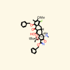 COc1c(C)c(OCc2ccccc2)c2c(c1F)C[C@H]1C[C@H]3[C@H](N(C)C)c4onc(OCc5ccccc5)c4C(=O)[C@@]3(O[Si](C)(C)C(C)(C)C)C(O)=C1C2=O